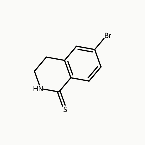 S=C1NCCc2cc(Br)ccc21